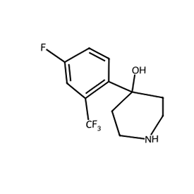 OC1(c2ccc(F)cc2C(F)(F)F)CCNCC1